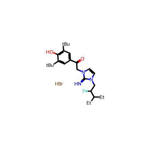 Br.CCC(CC)C(F)Cn1ccn(CC(=O)c2cc(C(C)(C)C)c(O)c(C(C)(C)C)c2)c1=N